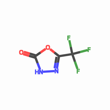 O=c1[nH]nc(C(F)(F)F)o1